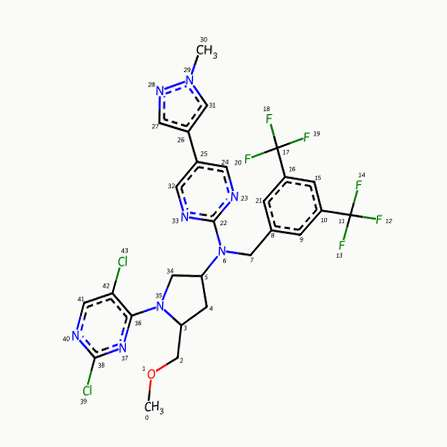 COCC1CC(N(Cc2cc(C(F)(F)F)cc(C(F)(F)F)c2)c2ncc(-c3cnn(C)c3)cn2)CN1c1nc(Cl)ncc1Cl